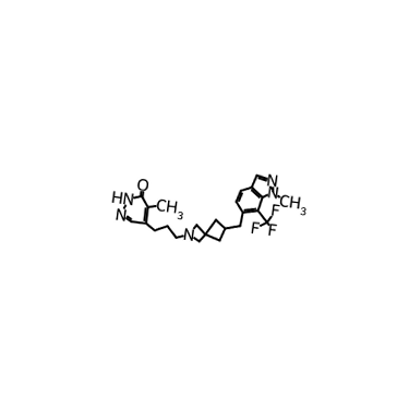 Cc1c(CCCN2CC3(CC(Cc4ccc5cnn(C)c5c4C(F)(F)F)C3)C2)cn[nH]c1=O